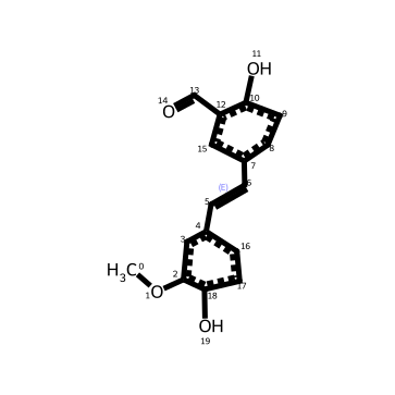 COc1cc(/C=C/c2ccc(O)c(C=O)c2)ccc1O